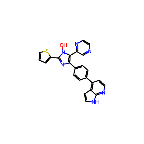 On1c(-c2cccs2)nc(-c2ccc(-c3ccnc4[nH]ccc34)cc2)c1-c1cnccn1